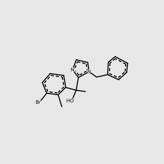 Cc1c(Br)cccc1C(C)(O)c1nccn1Cc1ccccc1